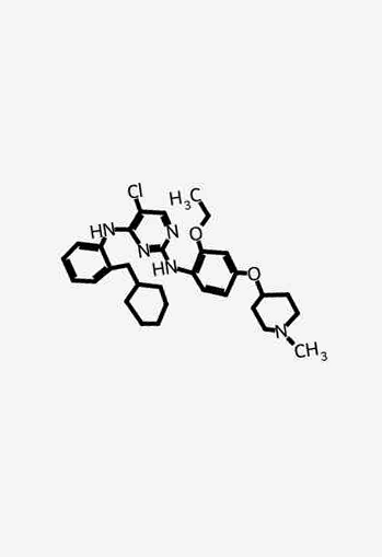 CCOc1cc(OC2CCN(C)CC2)ccc1Nc1ncc(Cl)c(Nc2ccccc2CC2CCCCC2)n1